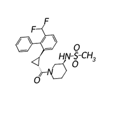 CS(=O)(=O)N[C@H]1CCCN(C(=O)[C@@H]2C[C@H]2c2cccc(C(F)F)c2-c2ccccc2)C1